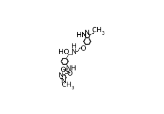 CCc1n[nH]c2cc(OCCNCC(O)c3cccc(NS(=O)(=O)c4cn(C)cn4)c3)ccc12